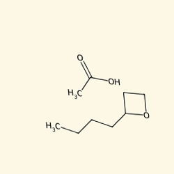 CC(=O)O.CCCCC1CCO1